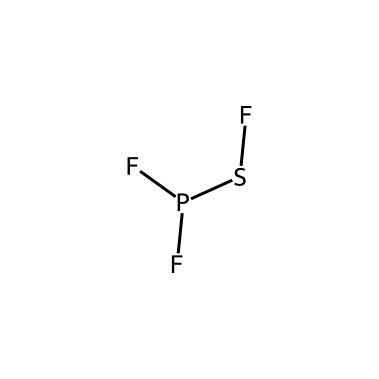 FSP(F)F